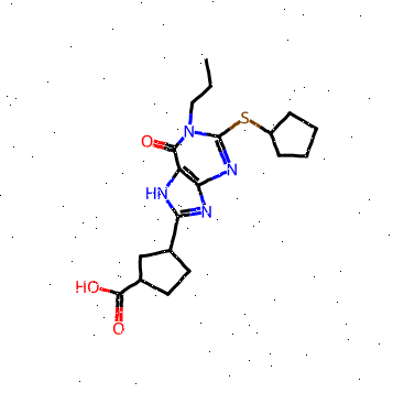 CCCn1c(SC2CCCC2)nc2nc(C3CCC(C(=O)O)C3)[nH]c2c1=O